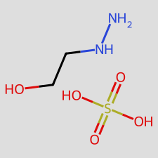 NNCCO.O=S(=O)(O)O